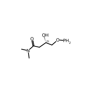 CN(C)C(=O)C[C@H](O)COP